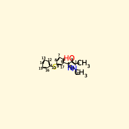 Cc1c(O)c(-c2cccc(Sc3ccccc3)c2)nn1C